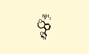 NC[C@H]1OCCCc2c(-c3cnco3)cccc21